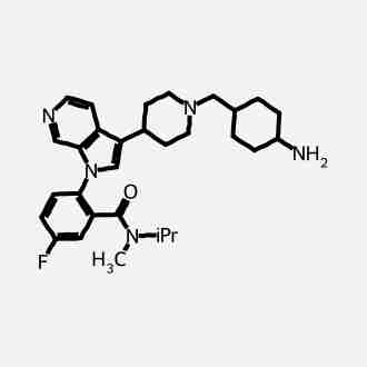 CC(C)N(C)C(=O)c1cc(F)ccc1-n1cc(C2CCN(CC3CCC(N)CC3)CC2)c2ccncc21